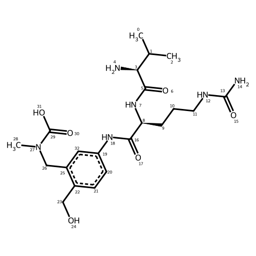 CC(C)[C@H](N)C(=O)N[C@@H](CCCNC(N)=O)C(=O)Nc1ccc(CO)c(CN(C)C(=O)O)c1